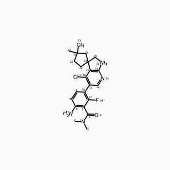 CN(C)C(=O)c1c(N)ccc(-c2cnc3c(c2Cl)C2(CCC(C)(O)C2)CN3)c1F